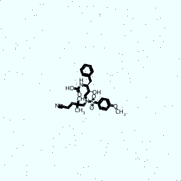 COc1ccc(S(=O)(=O)N(C[C@@H](O)[C@H](Cc2ccccc2)NC(=O)O)CC(C)(C)CCC#N)cc1